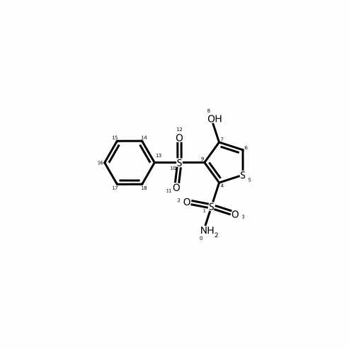 NS(=O)(=O)c1scc(O)c1S(=O)(=O)c1ccccc1